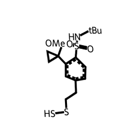 COC1(c2cc(CCSS)ccc2S(=O)(=O)NC(C)(C)C)CC1